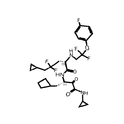 O=C(NC1CC1)C(=O)[C@H](CC1CCC1)NC(=O)[C@H](CC(F)(F)CC1CC1)NCC(F)(F)Oc1ccc(F)cc1